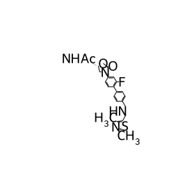 CC(=O)NC[C@H]1CN(c2ccc(-c3ccc(CNCc4sc(C)nc4C)cc3)c(F)c2)C(=O)O1